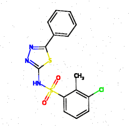 Cc1c(Cl)cccc1S(=O)(=O)Nc1nnc(-c2ccccc2)s1